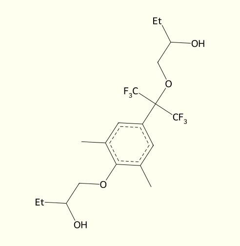 CCC(O)COc1c(C)cc(C(OCC(O)CC)(C(F)(F)F)C(F)(F)F)cc1C